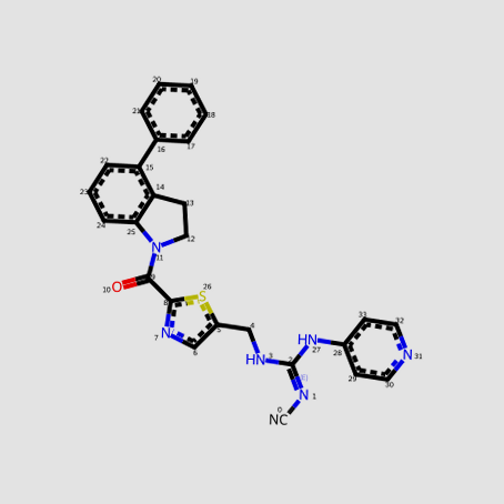 N#C/N=C(\NCc1cnc(C(=O)N2CCc3c(-c4ccccc4)cccc32)s1)Nc1ccncc1